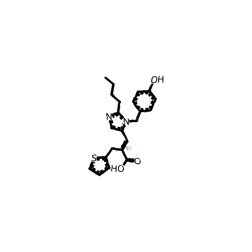 CCCCc1ncc(/C=C(\Cc2cccs2)C(=O)O)n1Cc1ccc(O)cc1